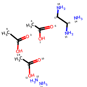 CC(=O)O.CC(=O)O.CC(=O)O.N.N.N.NCCN